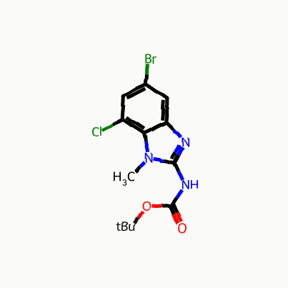 Cn1c(NC(=O)OC(C)(C)C)nc2cc(Br)cc(Cl)c21